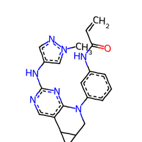 C=CC(=O)Nc1cccc(N2CC3CC3c3cnc(Nc4cnn(C)c4)nc32)c1